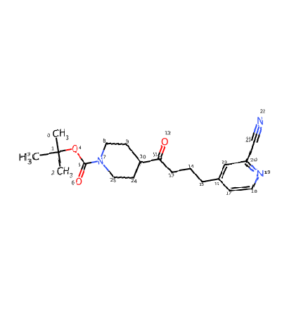 CC(C)(C)OC(=O)N1CCC(C(=O)CCCc2ccnc(C#N)c2)CC1